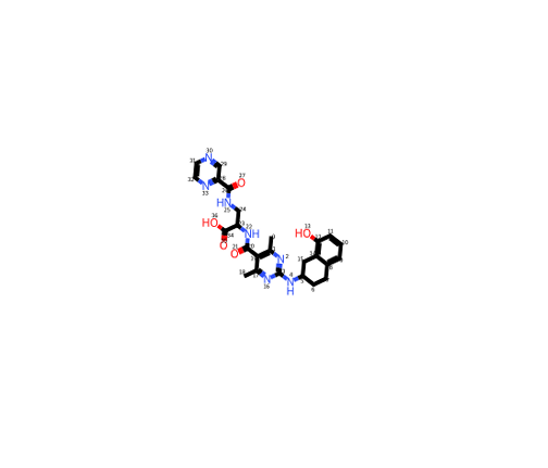 Cc1nc(NC2CCc3cccc(O)c3C2)nc(C)c1C(=O)NC(CNC(=O)c1cnccn1)C(=O)O